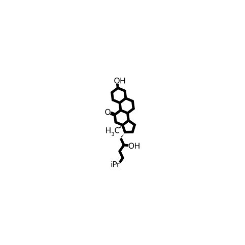 CC(C)CCC(O)C[C@H]1CCC2C3CCC4CC(O)CCC4C3C(=O)C[C@@]21C